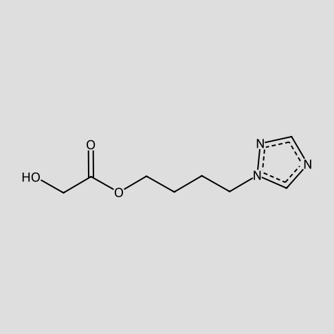 O=C(CO)OCCCCn1cncn1